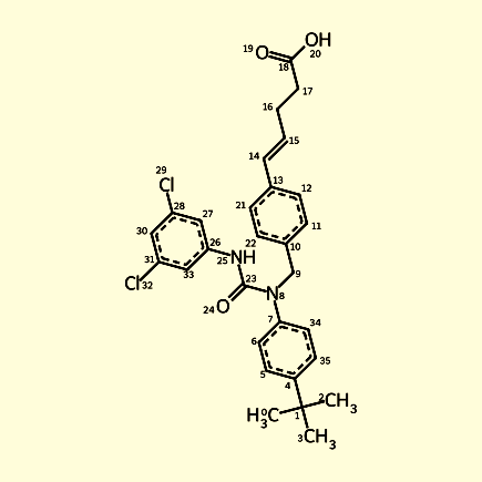 CC(C)(C)c1ccc(N(Cc2ccc(C=CCCC(=O)O)cc2)C(=O)Nc2cc(Cl)cc(Cl)c2)cc1